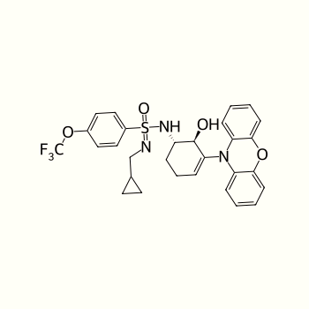 O=S(=NCC1CC1)(N[C@H]1CCC=C(N2c3ccccc3Oc3ccccc32)[C@@H]1O)c1ccc(OC(F)(F)F)cc1